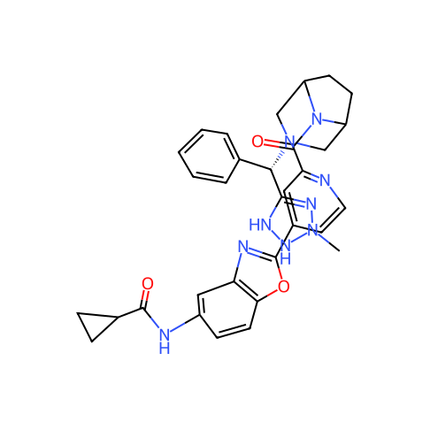 CN1N=C([C@H](c2ccccc2)N2CC3CCC(C2)N3C(=O)c2cc(-c3nc4cc(NC(=O)C5CC5)ccc4o3)ccn2)NN1